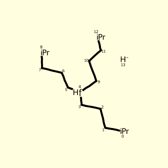 CC(C)CC[CH2][Hf]([CH2]CCC(C)C)[CH2]CCC(C)C.[H-]